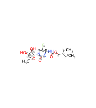 CCC(CC)COC(=O)Nc1nc(=O)n([C@@H]2O[C@H](C)[C@@H](O)[C@H]2O)cc1F